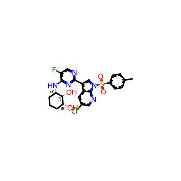 Cc1ccc(S(=O)(=O)n2cc(-c3ncc(F)c(N[C@H]4CCC[C@@H](O)[C@H]4O)n3)c3cc(Cl)cnc32)cc1